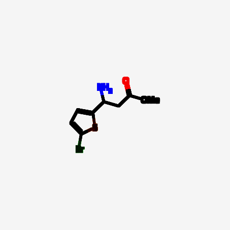 COC(=O)CC(N)c1ccc(Br)s1